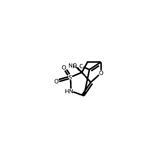 Cc1c2oc3c1NS(=O)(=O)C3(C#N)C2